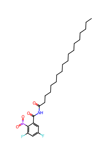 CCCCCCCCCCCCCCCCCC(=O)NC(=O)c1cc(F)cc(F)c1I(=O)=O